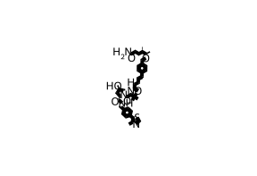 Cc1ncsc1-c1ccc(CNC(=O)[C@@H]2C[C@@H](O)CN2C(=O)[C@@H](NC(=O)CC/C=C/c2ccc(CO[C@H](C)[C@@H](C)CCC(N)=O)cc2)C(C)(C)C)cc1